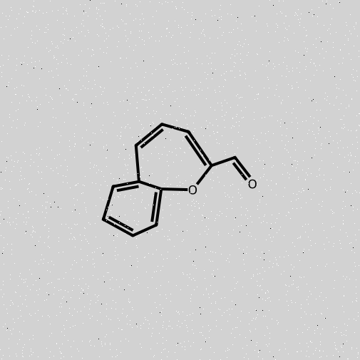 O=CC1=CC=Cc2ccccc2O1